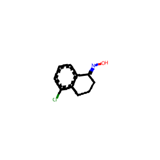 O/N=C1\CCCc2c(Cl)cccc21